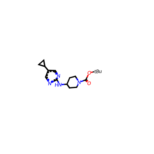 CC(C)(C)OC(=O)N1CCC(Nc2ncc(C3CC3)cn2)CC1